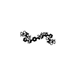 COC(=O)N[C@H](C(=O)N1CCCC1c1cc(-c2cn3cc(-c4ccc(-c5cnc([C@@H]6CCCN6C(=O)[C@@H](NC(=O)OC)C(C)C)[nH]5)cc4)sc3n2)[nH]n1)C(C)C